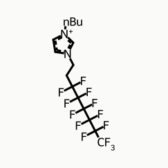 CCCC[n+]1ccn(CCC(F)(F)C(F)(F)C(F)(F)C(F)(F)C(F)(F)C(F)(F)F)c1